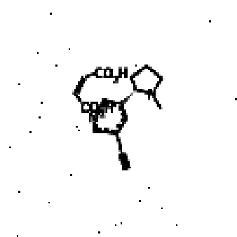 C#Cc1cncc([C@@H]2CCCN2C)c1.O=C(O)/C=C\C(=O)O